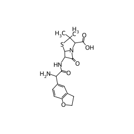 CC1(C)SC2C(NC(=O)C(N)c3ccc4c(c3)CCO4)C(=O)N2C1C(=O)O